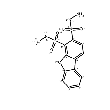 NNS(=O)(=O)c1ccc2c(oc3ccccc32)c1S(=O)(=O)NN